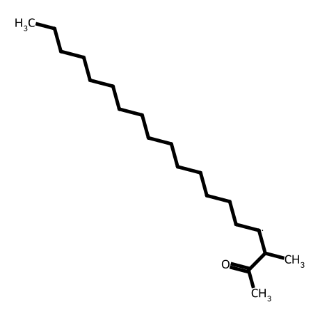 CCCCCCCCCCCCCCC[CH]C(C)C(C)=O